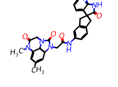 CC1=CC2C3C(=C1)N(C)C(=O)CN3C(=O)N2CC(=O)Nc1ccc2c(c1)CC1(C2)C(=O)Nc2ncccc21